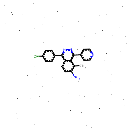 Cc1c(N)ccc2c(-c3ccc(Cl)cc3)nnc(-c3ccncc3)c12